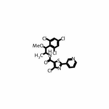 COC(c1c(Cl)cc(Cl)cc1Cl)C(C)NC(=O)c1sc(-c2cccnc2)nc1Cl